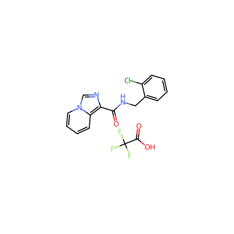 O=C(NCc1ccccc1Cl)c1ncn2ccccc12.O=C(O)C(F)(F)F